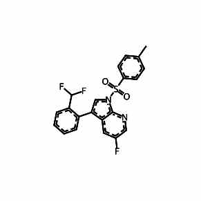 Cc1ccc(S(=O)(=O)n2cc(-c3ccccc3C(F)F)c3cc(F)cnc32)cc1